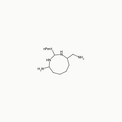 CCCCCC1NC(N)CCCCC(CN)N1